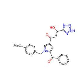 COc1ccc(Cn2cc(C(=O)C=C(O)c3nn[nH]n3)cc2C(=O)c2ccccc2)cc1